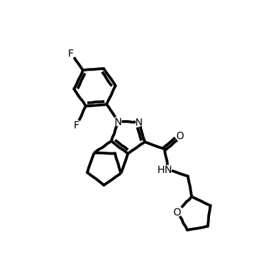 O=C(NCC1CCCO1)c1nn(-c2ccc(F)cc2F)c2c1C1CCC2C1